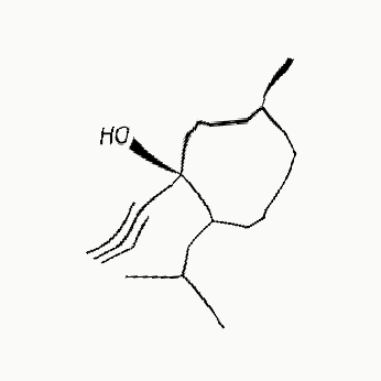 C#C[C@]1(O)C[C@@H](C)CCC1C(C)C